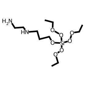 CCOO[Si](OCCCNCCN)(OOCC)OOCC